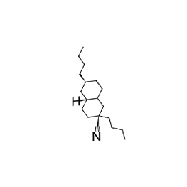 CCCC[C@H]1CCC2C[C@](C#N)(CCCC)CC[C@@H]2C1